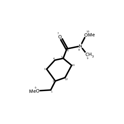 COCC1CCC(C(=O)N(C)OC)CC1